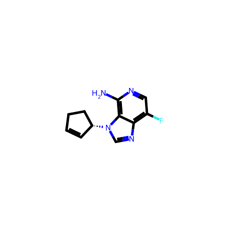 Nc1ncc(F)c2ncn([C@@H]3C=CCC3)c12